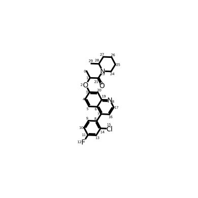 CC(Oc1ccc2c(-c3ccc(F)cc3Cl)ccnc2c1)C(=O)N1CCCCC1C